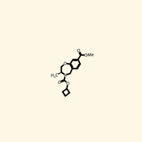 COC(=O)c1ccc2c(c1)OC[C@H](C)N(C(=O)OC1CCC1)C2